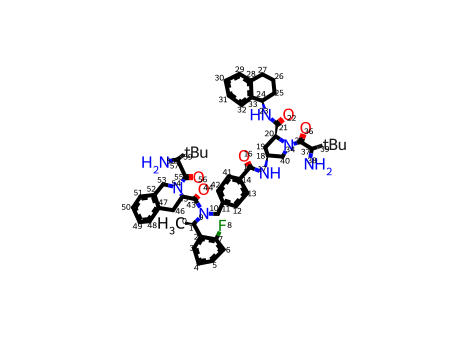 C[C@H](c1ccccc1F)N(Cc1ccc(C(=O)N[C@H]2C[C@@H](C(=O)N[C@@H]3CCCc4ccccc43)N(C(=O)C(N)C(C)(C)C)C2)cc1)C(=O)C1Cc2ccccc2CN1C(=O)C(N)C(C)(C)C